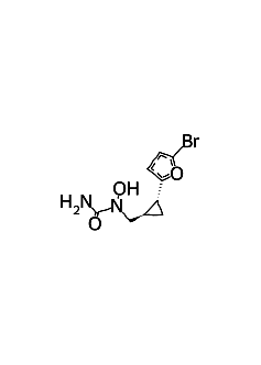 NC(=O)N(O)C[C@@H]1C[C@H]1c1ccc(Br)o1